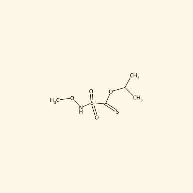 CONS(=O)(=O)C(=S)OC(C)C